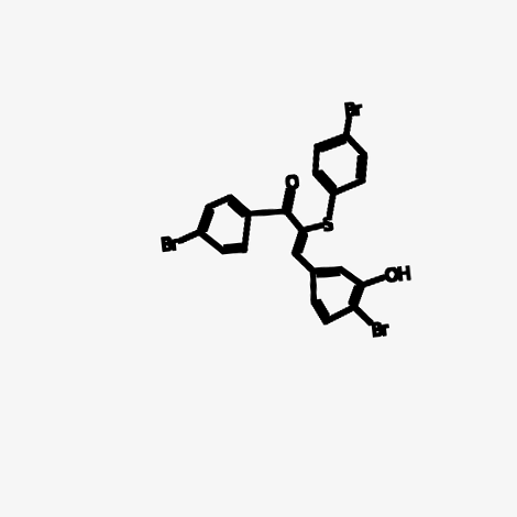 O=C(C(=Cc1ccc(Br)c(O)c1)Sc1ccc(Br)cc1)c1ccc(Br)cc1